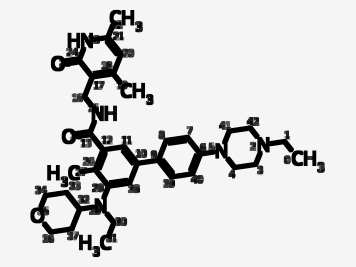 CCN1CCN(c2ccc(-c3cc(C(=O)NCc4c(C)cc(C)[nH]c4=O)c(C)c(N(CC)C4CCOCC4)c3)cc2)CC1